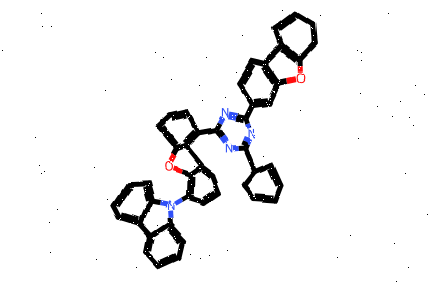 C1=CCC(c2nc(-c3ccc4c5c(oc4c3)CCC=C5)nc(-c3cccc4oc5c(-n6c7ccccc7c7ccccc76)cccc5c34)n2)C=C1